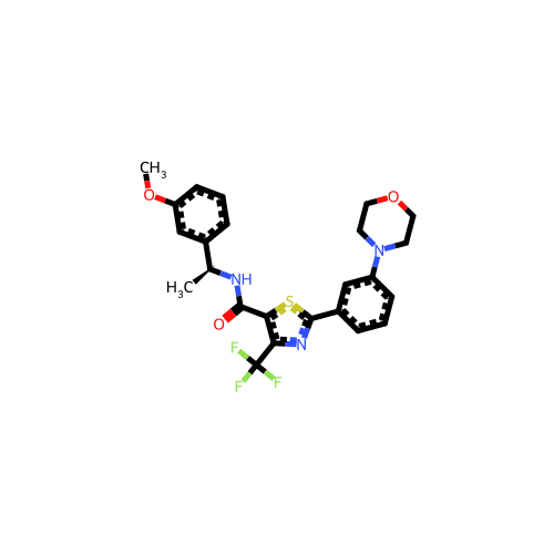 COc1cccc([C@H](C)NC(=O)c2sc(-c3cccc(N4CCOCC4)c3)nc2C(F)(F)F)c1